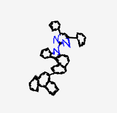 c1ccc(-c2cc(-c3ccccc3)nc(-n3c4ccccc4c4c5cc(-c6cc7ccccc7c7ccccc67)ccc5ccc43)n2)cc1